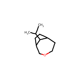 CC(C)C1C2CCOCC1CC2